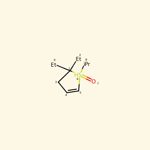 CCC1(CC)CC=C[SH]1(=O)C(C)C